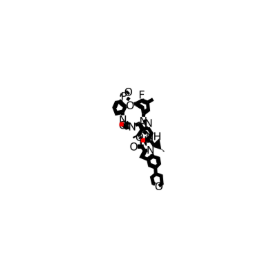 Cc1cc2cc(oc3c(P(C)(C)=O)cccc3n3ccn(c3=O)c3c4c(nn23)CCN(C(=O)c2cc3cc(C5CCOCC5)ccc3n2[C@@]2(c3noc(=O)[nH]3)C[C@@H]2C)[C@H]4C)c1F